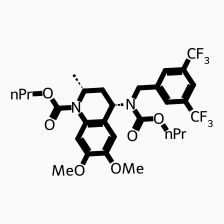 CCCOC(=O)N(Cc1cc(C(F)(F)F)cc(C(F)(F)F)c1)[C@H]1C[C@@H](C)N(C(=O)OCCC)c2cc(OC)c(OC)cc21